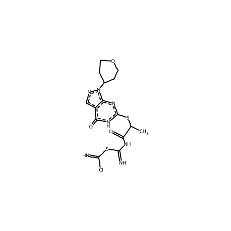 CC(Sc1nc2c(cnn2C2CCOCC2)c(=O)[nH]1)C(=O)NC(=N)SC(=N)Cl